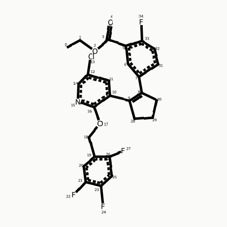 CCOC(=O)c1cc(C2=C(c3cc(Cl)cnc3OCc3cc(F)c(F)cc3F)CCC2)ccc1F